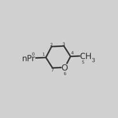 CCCC1CCC(C)OC1